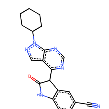 N#Cc1ccc2c(c1)C(c1ncnc3c1cnn3C1CCCCC1)C(=O)N2